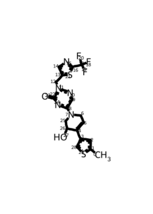 Cc1cc(C2=CCN(c3cnn(Cc4cnc(C(F)(F)F)s4)c(=O)n3)CC2O)cs1